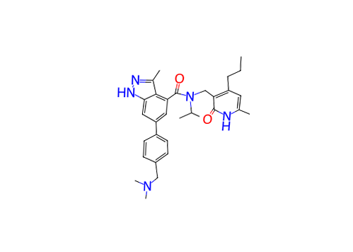 CCCc1cc(C)[nH]c(=O)c1CN(C(=O)c1cc(-c2ccc(CN(C)C)cc2)cc2[nH]nc(C)c12)C(C)C